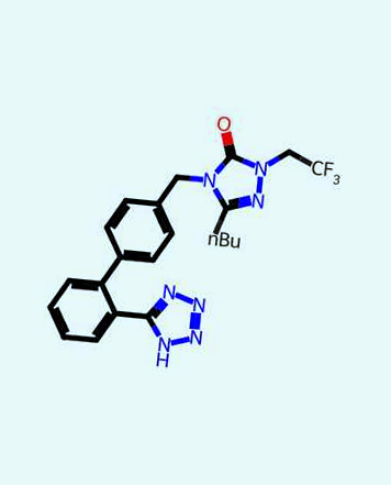 CCCCc1nn(CC(F)(F)F)c(=O)n1Cc1ccc(-c2ccccc2-c2nnn[nH]2)cc1